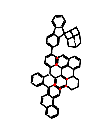 c1ccc(N(c2ccc(-c3ccc4c(c3)C3(c5ccccc5-4)C4CC5CC6CC3C64C5)cc2)c2ccccc2-c2cccc3cccc(C4CCCCC4)c23)c(-c2cccc3c2ccc2ccccc23)c1